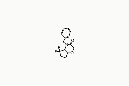 O=C1COC2CCC(F)(F)C2N1Cc1ccccc1